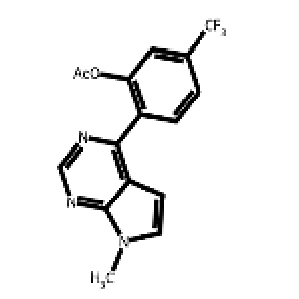 CC(=O)Oc1cc(C(F)(F)F)ccc1-c1ncnc2c1ccn2C